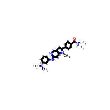 CN(C)C(=O)c1ccc(-c2cc3cnc(Nc4cccc(N(C)C)c4)cc3n2C)cc1